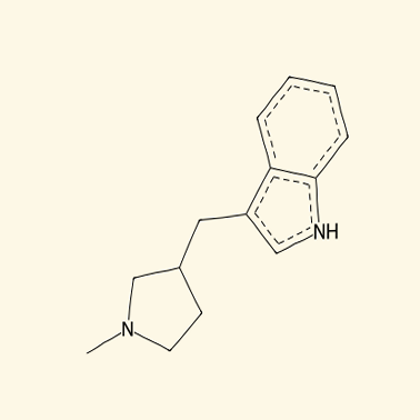 CN1CCC(Cc2c[nH]c3ccccc23)C1